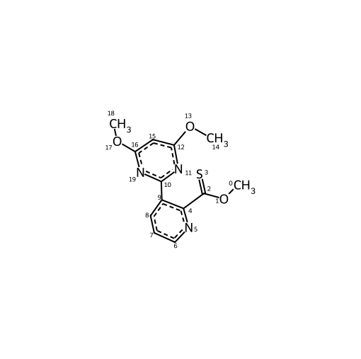 COC(=S)c1ncccc1-c1nc(OC)cc(OC)n1